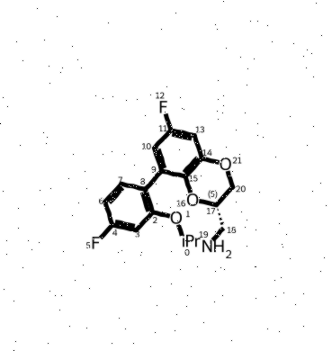 CC(C)Oc1cc(F)ccc1-c1cc(F)cc2c1O[C@@H](CN)CO2